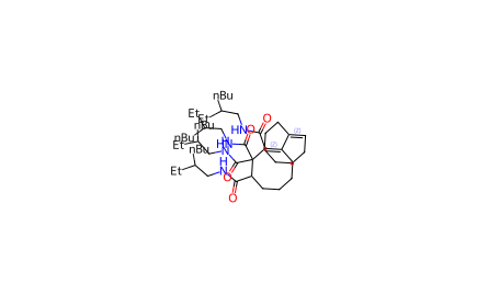 CCCCC(CC)CNC(=O)/C1=C(\C2=C/CCCCCC2)CCCCC(C(=O)NCC(CC)CCCC)C1(C(=O)NCC(CC)CCCC)C(=O)NCC(CC)CCCC